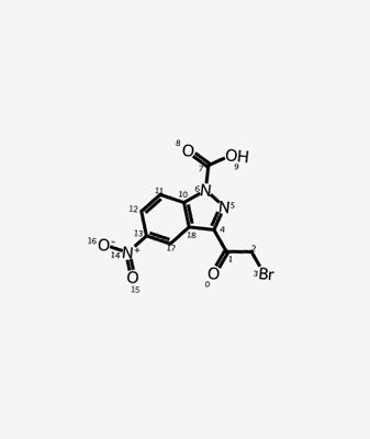 O=C(CBr)c1nn(C(=O)O)c2ccc([N+](=O)[O-])cc12